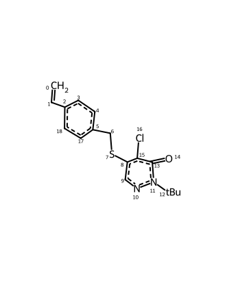 C=Cc1ccc(CSc2cnn(C(C)(C)C)c(=O)c2Cl)cc1